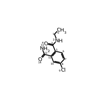 CCNC(=O)c1ccc(Cl)cc1C(N)=O